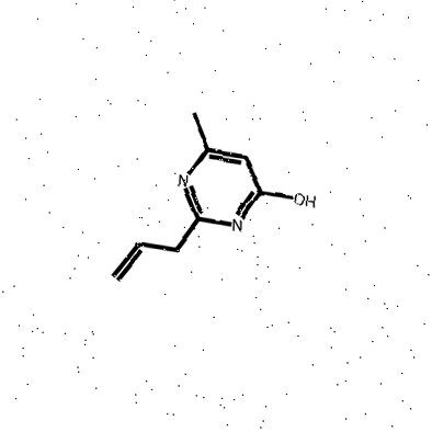 C=CCc1nc(C)cc(O)n1